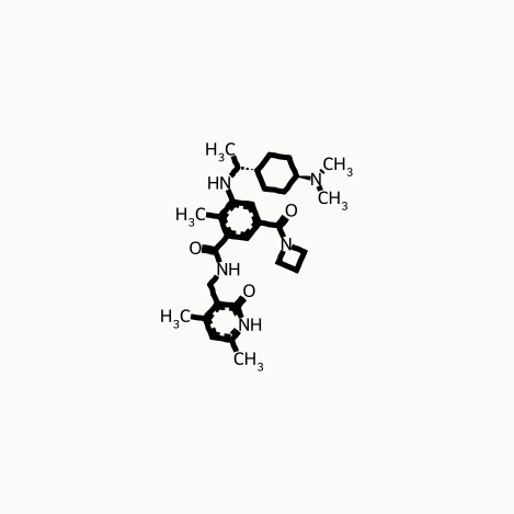 Cc1cc(C)c(CNC(=O)c2cc(C(=O)N3CCC3)cc(NC(C)[C@H]3CC[C@H](N(C)C)CC3)c2C)c(=O)[nH]1